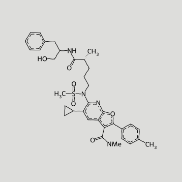 CNC(=O)c1c(-c2ccc(C)cc2)oc2nc(N(CCC[C@@H](C)C(=O)NC(CO)Cc3ccccc3)S(C)(=O)=O)c(C3CC3)cc12